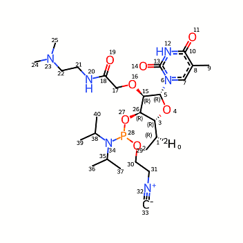 [2H][C@H](C)[C@H]1O[C@@H](n2cc(C)c(=O)[nH]c2=O)[C@H](OCC(=O)NCCN(C)C)[C@@H]1OP(OCC[N+]#[C-])N(C(C)C)C(C)C